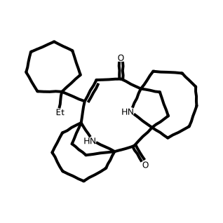 CCC1(/C2=C/C(=O)C34CCCCCCC(CC3)(N4)C(=O)C34CCCCCC2(CC3)N4)CCCCCC1